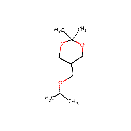 CC(C)OCC1COC(C)(C)OC1